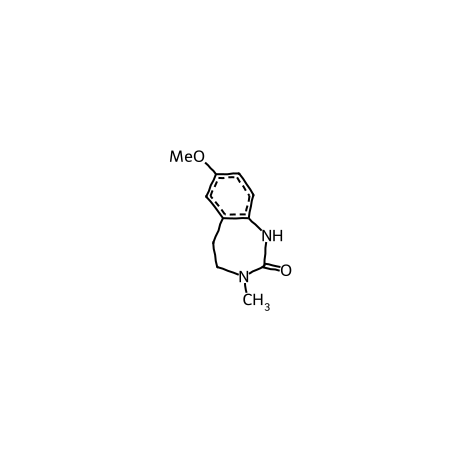 COc1ccc2c(c1)CCN(C)C(=O)N2